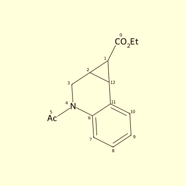 CCOC(=O)C1C2CN(C(C)=O)c3ccccc3C21